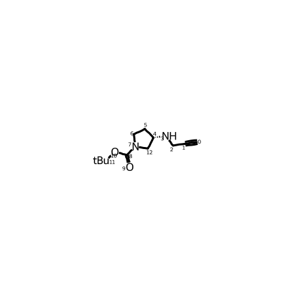 C#CCN[C@H]1CCN(C(=O)OC(C)(C)C)C1